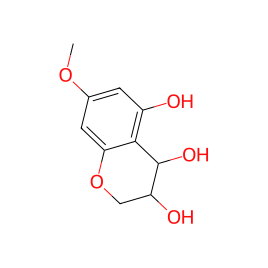 COc1cc(O)c2c(c1)OCC(O)C2O